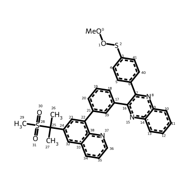 COOSc1ccc(-c2nc3ccccc3nc2-c2cccc(-c3cc(C(C)(C)S(C)(=O)=O)cc4cccnc34)c2)cc1